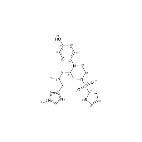 CN(Cc1cn(C)cn1)C[C@H]1CN(S(=O)(=O)C2CC=CS2)CCN1c1ccc(O)cc1